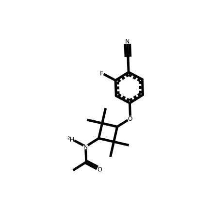 [2H]N(C(C)=O)C1C(C)(C)C(Oc2ccc(C#N)c(F)c2)C1(C)C